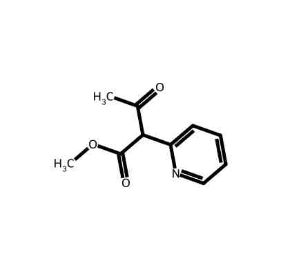 COC(=O)C(C(C)=O)c1ccccn1